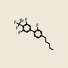 CCCCCc1ccc(-c2cc(F)c(C(F)(F)Br)c(F)c2)c(F)c1